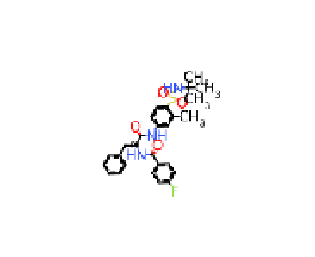 Cc1cc(NC(=O)[C@H](Cc2ccccc2)NC(=O)c2ccc(F)cc2)ccc1S(=O)(=O)NC(C)(C)C